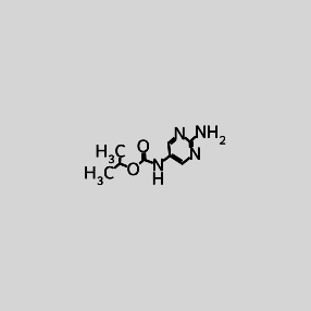 CC(C)OC(=O)Nc1cnc(N)nc1